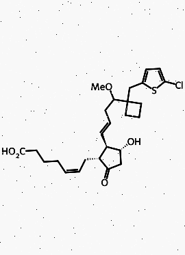 COC(C/C=C/[C@H]1[C@H](O)CC(=O)[C@@H]1C/C=C\CCCC(=O)O)C1(Cc2ccc(Cl)s2)CCC1